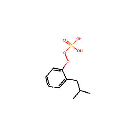 CC(C)Cc1ccccc1OOP(=O)(O)O